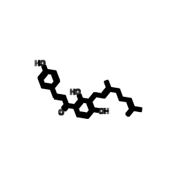 CC(C)=CCC/C(C)=C/Cc1c(O)ccc(C(=O)C=Cc2ccc(O)cc2)c1O